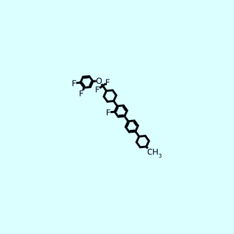 CC1CCC(c2ccc(-c3ccc(C4CCC(C(F)(F)Oc5ccc(F)c(F)c5)CC4)c(F)c3)cc2)CC1